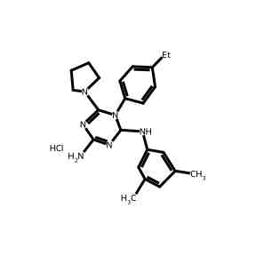 CCc1ccc(N2C(N3CCCC3)=NC(N)=NC2Nc2cc(C)cc(C)c2)cc1.Cl